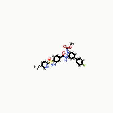 Cc1ccc(S(=N)(=O)c2ccc(C(=O)Nc3cc(-c4ccc(F)cc4)ccc3NC(=O)OC(C)(C)C)cc2)nc1